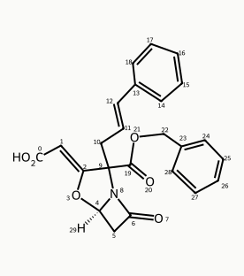 O=C(O)/C=C1\O[C@@H]2CC(=O)N2C1(C/C=C/c1ccccc1)C(=O)OCc1ccccc1